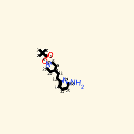 CC(C)(C)C(=O)ON1CCC(CCc2cccc(N)n2)CC1